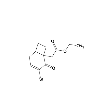 CCOC(=O)CC12CCC1CC=C(Br)C2=O